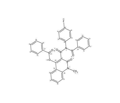 Cn1c(=O)c(C(=O)N(C(=O)c2ccccc2)c2ccc(F)cc2)c(OC(=O)c2ccccc2)c2ccccc21